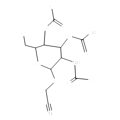 CC(=O)NC1C(SCC#N)OC(CO)C(OC(C)=O)C1OC(C)=O